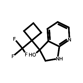 OC1(C2(C(F)(F)F)CCC2)CNc2ncccc21